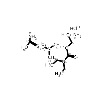 CCOC(=S)N(CC)CC.CN(C)C.Cl.N.NC(O)=S